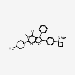 CNC1(c2ccc(-c3oc4nc(N5CCC(O)CC5)n(C)c(=O)c4c3-c3ccccc3)cc2)CCC1